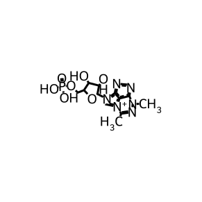 CC1=NN(C)c2ncnc3c2[n+]1cn3C1OC(COP(=O)(O)O)C(O)C1O